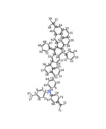 CC(C)c1ccc(N(c2ccc(-c3ccc4c5cc6c(-c7ccccc7)c7c8ccc9ccc%10cc(C(C)(C)C)cc%11cc(c7c(-c7ccccc7)c6cc5c5cccc3c45)c8c9c%10%11)cc2)c2ccc(C(C)C)cc2)cc1